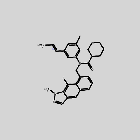 Cn1ncc2cc3cccc(CN(C(=O)C4CCCCC4)c4cc(F)cc(/C=C/C(=O)O)c4)c3c(F)c21